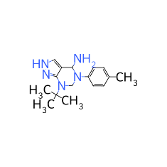 Cc1ccc(N2CN(C(C)(C)C)c3n[nH]cc3C2N)cc1